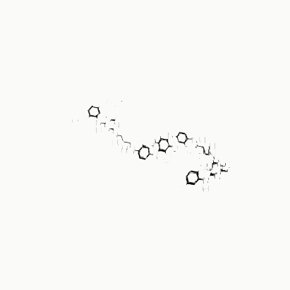 O=S(=O)(O)c1ccc(S(=O)(=O)O)c(Nc2nc(F)nc(NCCCNc3ccc4c(c3S(=O)(=O)O)Oc3c(Cl)c5c(c(Cl)c3=N4)Oc3c(ccc(NCCCNc4nc(F)nc(Nc6cc(S(=O)(=O)O)ccc6S(=O)(=O)O)n4)c3S(=O)(=O)O)N=5)n2)c1